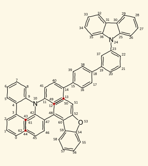 c1ccc(-c2ccccc2N(c2ccc(-c3ccc(-c4cccc(-n5c6ccccc6c6ccccc65)c4)cc3)cc2)c2ccccc2-c2cccc3oc4ccccc4c23)cc1